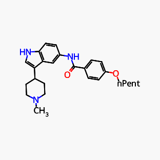 CCCCCOc1ccc(C(=O)Nc2ccc3[nH]cc(C4CCN(C)CC4)c3c2)cc1